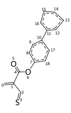 C=C(C=S)C(=O)Oc1ccc(-c2ccccc2)cc1